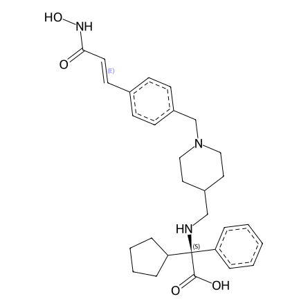 O=C(/C=C/c1ccc(CN2CCC(CN[C@](C(=O)O)(c3ccccc3)C3CCCC3)CC2)cc1)NO